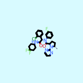 C[C@H]1CCC(C(=O)N(c2cccc(F)c2)[C@H](C(=O)NC2CCC(F)(F)CC2)c2ccccc2Cl)N1c1ncccn1